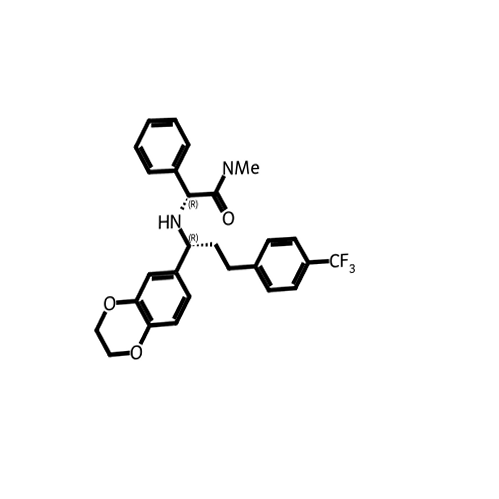 CNC(=O)[C@H](N[C@H](CCc1ccc(C(F)(F)F)cc1)c1ccc2c(c1)OCCO2)c1ccccc1